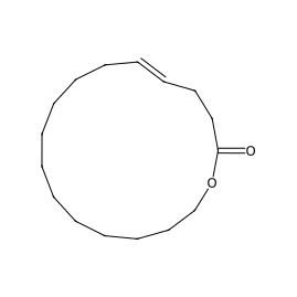 O=C1CC/C=C/CCCCCCCCCCCO1